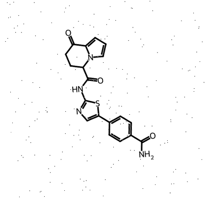 NC(=O)c1ccc(-c2cnc(NC(=O)C3CCC(=O)c4cccn43)s2)cc1